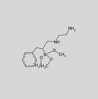 CO[Si](OC)(OC)C(CNCCN)Cc1ccccc1